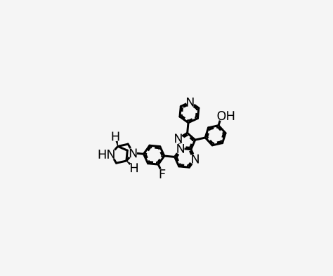 Oc1cccc(-c2c(-c3ccncc3)nn3c(-c4ccc(N5C[C@@H]6C[C@H]5CN6)cc4F)ccnc23)c1